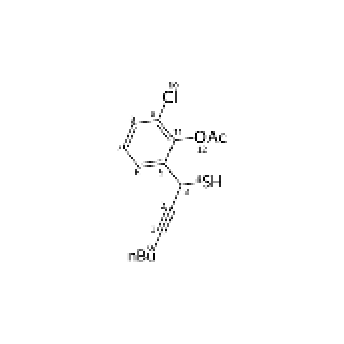 CCCCC#CC(S)c1cccc(Cl)c1OC(C)=O